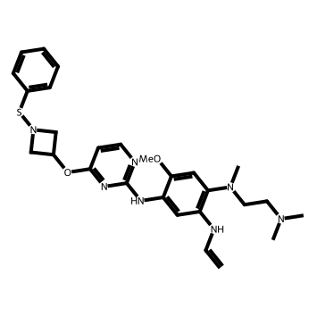 C=CNc1cc(Nc2nccc(OC3CN(Sc4ccccc4)C3)n2)c(OC)cc1N(C)CCN(C)C